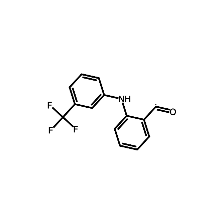 O=[C]c1ccccc1Nc1cccc(C(F)(F)F)c1